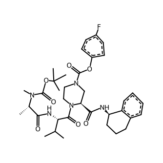 CC(C)[C@H](NC(=O)[C@H](C)N(C)C(=O)OC(C)(C)C)C(=O)N1CCN(C(=O)Oc2ccc(F)cc2)C[C@H]1C(=O)N[C@@H]1CCCc2ccccc21